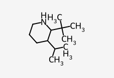 CC(C)C1CCCNC1C(C)(C)C